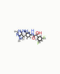 Cc1nc(N)c2c(-c3ccc(NC(=O)C(O)c4cc(F)cc(F)c4)cc3C)cn(C)c2n1